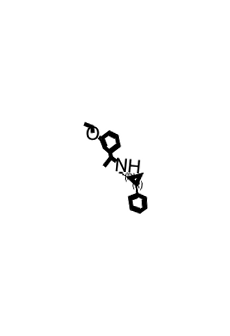 CCOc1cccc(C(C)NC[C@@H]2C[C@H]2c2ccccc2)c1